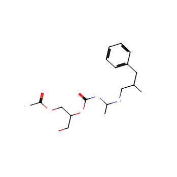 CCCCCCCCC(CNC(C)NC(=O)OC(CO)COC(=O)C(C)C)Cc1ccccc1